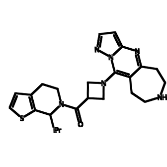 CC(C)C1c2sccc2CCN1C(=O)C1CN(c2c3c(nc4ccnn24)CCNCC3)C1